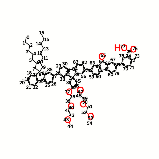 CCCCCCCCC1(CCCCCCCC)c2cc(C)ccc2-c2ccc(-c3ccc4c(c3)C(CCOCCOCCOC)(CCOCCOCCOC)c3cc(-c5ccc6c(c5)C(=O)c5cc(-c7ccc(C)c(C(=O)O)c7)ccc5-6)ccc3-4)cc21